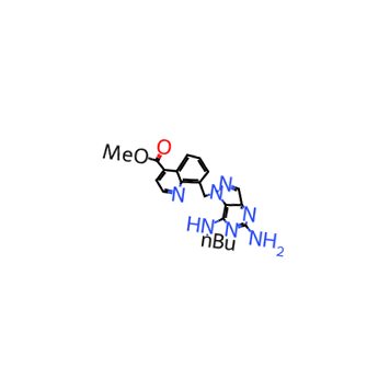 CCCCNc1nc(N)nc2cnn(Cc3cccc4c(C(=O)OC)ccnc34)c12